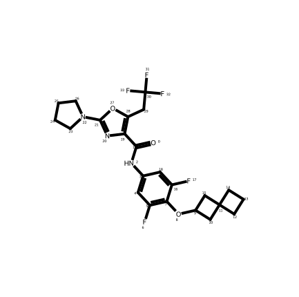 O=C(Nc1cc(F)c(OC2CC3(CCC3)C2)c(F)c1)c1nc(N2CCCC2)oc1CC(F)(F)F